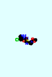 CC(C)(C)OC(=O)N1CCCC(c2ncc(S(=O)(=O)Nc3ccc(Cl)c4cc[nH]c34)s2)C1